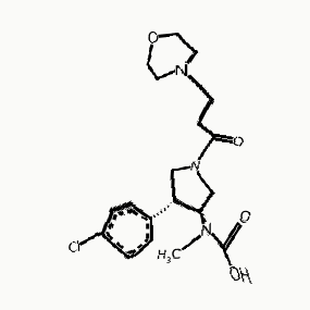 CN(C(=O)O)[C@@H]1CN(C(=O)CCN2CCOCC2)C[C@H]1c1ccc(Cl)cc1